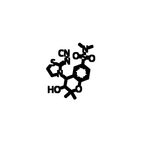 CN(C)S(=O)(=O)c1ccc2c(c1)C(N1CCS/C1=N\C#N)C(O)C(C)(C)O2